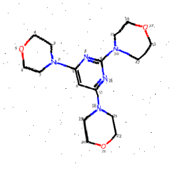 c1c(N2CCOCC2)nc(N2CCOCC2)nc1N1CCOCC1